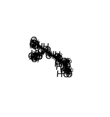 CC(=O)Oc1cccc(C(=O)NCCCCN(CCCNC(=O)c2cccc(OC(C)=O)c2OC(C)=O)C(=O)CCC(=O)NCCCCCN(OC(C)=O)C(=O)CCC(=O)N[C@@H](C(=O)N[C@@H]2C(=O)N3C2SC(C)(C)[C@@H]3C(=O)O)c2ccccc2)c1OC(C)=O